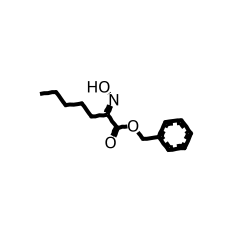 CCCCCC(=NO)C(=O)OCc1ccccc1